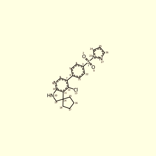 O=S(=O)(c1ccc(-c2cnc3c(c2Cl)C2(CCCC2)CN3)cc1)n1cccn1